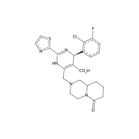 O=C(O)C1=C(CN2CCN3C(=O)CCCC3C2)NC(c2nccs2)=N[C@H]1c1cccc(F)c1Cl